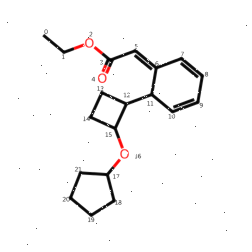 CCOC(=O)/C=C1/C=CC=CC1C1CCC1OC1CCCC1